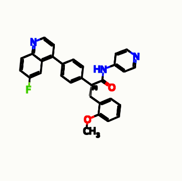 COc1ccccc1C[C@@H](C(=O)Nc1ccncc1)c1ccc(-c2ccnc3ccc(F)cc23)cc1